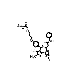 Cc1sc2c(c1C)C(c1ccc(OCCCOCC(=O)OC(C)(C)C)cc1)=NC(CC(=O)Nc1ccccc1)c1nnc(C)n1-2